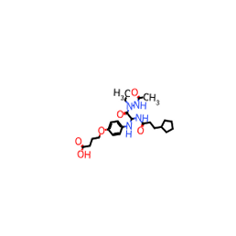 CCN(NC(C)=O)C(=O)C(NC(=O)CCC1CCCC1)Nc1ccc(OCCCC(=O)O)cc1